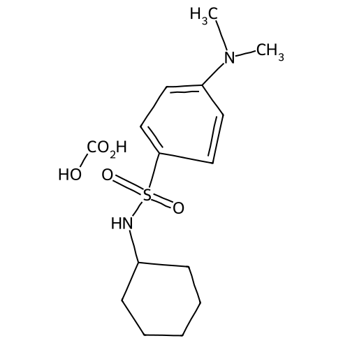 CN(C)c1ccc(S(=O)(=O)NC2CCCCC2)cc1.O=C(O)O